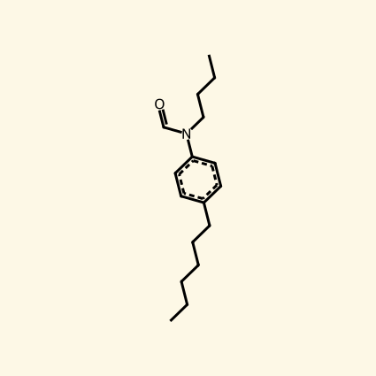 CCCCCCc1ccc(N(C=O)CCCC)cc1